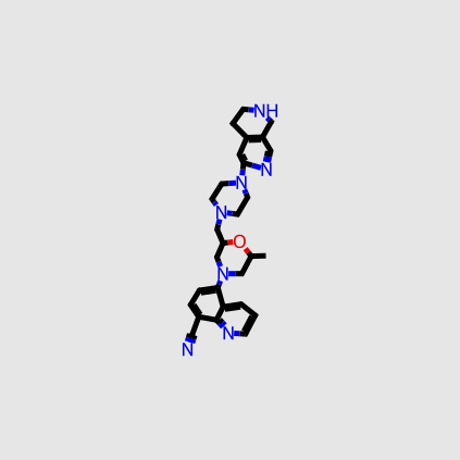 CC1CN(c2ccc(C#N)c3ncccc23)CC(CN2CCN(c3cc4c(cn3)CNCC4)CC2)O1